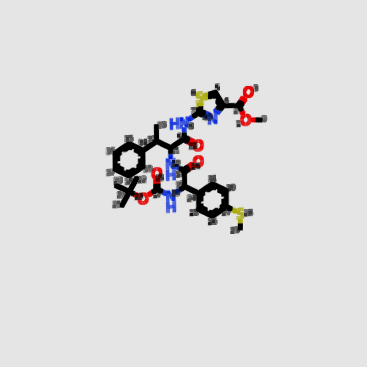 COC(=O)c1csc(NC(=O)C(NC(=O)C(NC(=O)OC(C)(C)C)c2ccc(SC)cc2)C(C)c2ccccc2)n1